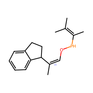 CC(C)=C(C)PO/C=C(/C)C1CCc2ccccc21